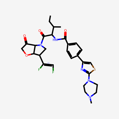 CCC(C)C(NC(=O)c1ccc(-c2csc(N3CCN(C)CC3)n2)cc1)C(=O)N1CC(/C(F)=C/F)C2OCC(=O)C21